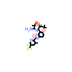 Cc1cc(C(F)(F)F)cnc1C(=O)Nc1ccc2c(c1)[C@@]1(C)N=C(N)C(C)(C)S(=O)(=O)[C@@H]1CC(C)(C)O2